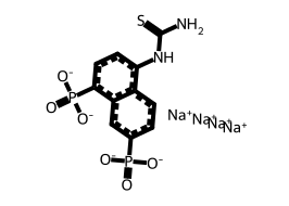 NC(=S)Nc1ccc(P(=O)([O-])[O-])c2cc(P(=O)([O-])[O-])ccc12.[Na+].[Na+].[Na+].[Na+]